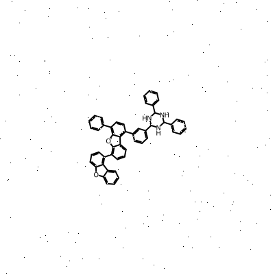 c1ccc(-c2ccc(-c3cccc(C4NC(c5ccccc5)NC(c5ccccc5)N4)c3)c3c2oc2c(-c4cccc5oc6ccccc6c45)cccc23)cc1